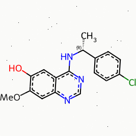 COc1cc2ncnc(N[C@H](C)c3ccc(Cl)cc3)c2cc1O